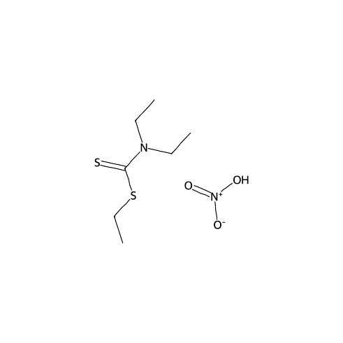 CCSC(=S)N(CC)CC.O=[N+]([O-])O